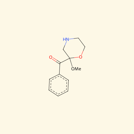 COC1(C(=O)c2ccccc2)CNCCO1